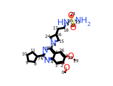 COc1cc2nc(C3CCCC3)nc(N3CC(CCNS(N)(=O)=O)C3)c2cc1OC